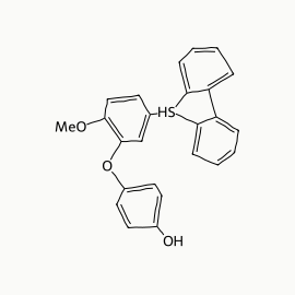 COc1ccc([SH]2c3ccccc3-c3ccccc32)cc1Oc1ccc(O)cc1